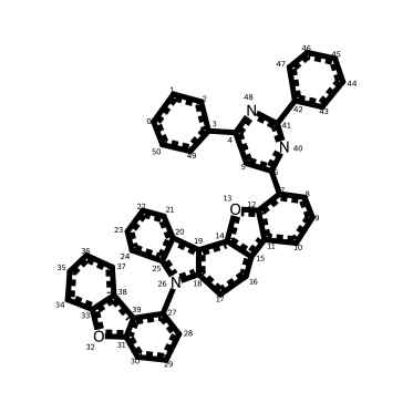 c1ccc(-c2cc(-c3cccc4c3oc3c4ccc4c3c3ccccc3n4-c3cccc4oc5ccccc5c34)nc(-c3ccccc3)n2)cc1